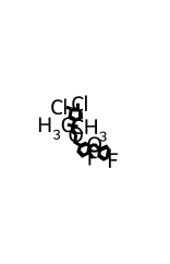 CC(C)(COCc1ccc(F)c(Oc2ccc(F)cc2)c1)c1ccc(Cl)c(Cl)c1